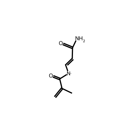 C=C(C)C(=O)[N]C=CC(N)=O